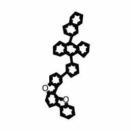 c1cc(-c2ccc3oc4ccc5c6ccccc6oc5c4c3c2)cc(-c2c3ccccc3c(-c3ccc4ccccc4c3)c3ccccc23)c1